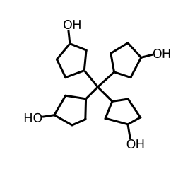 OC1CCC(C(C2CCC(O)C2)(C2CCC(O)C2)C2CCC(O)C2)C1